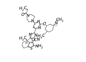 C=CC(=O)N1CCN(c2cc(-c3noc([C@@]4(C)CCCc5sc(N)c(C#N)c54)n3)nc(OC3C/C(=N\C)CCC(C)C3)n2)CC1